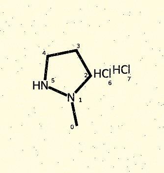 CN1CCCN1.Cl.Cl